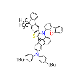 CC(C)(C)c1ccc(N(c2ccc(C(C)(C)C)cc2)c2ccc3c(c2)-c2cccc4c2B3c2sc3cc5c(cc3c2N4c2cccc3c2oc2ccccc23)-c2ccccc2C5(C)C)cc1